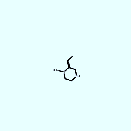 CC=C1CNCCN1N